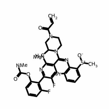 C=CC(=O)N1CCN(/C(=N/c2c(C(C)C)cccc2[S+](C)[O-])c2cc(F)c(-c3c(F)cccc3OC(=O)NC)nc2NC)C(C)C1